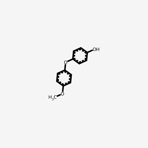 COc1ccc(Oc2ccc(O)cc2)cc1